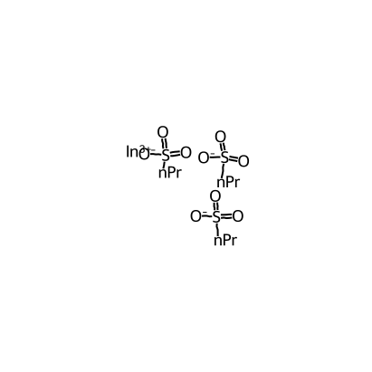 CCCS(=O)(=O)[O-].CCCS(=O)(=O)[O-].CCCS(=O)(=O)[O-].[In+3]